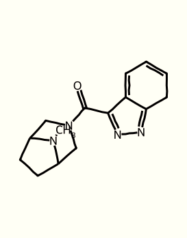 CN1C2CCC1CN(C(=O)C1=NN=C3CC=CC=C31)C2